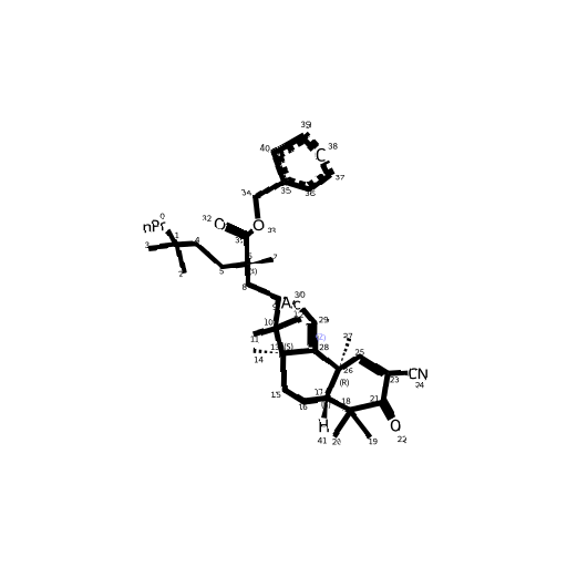 CCCC(C)(C)CC[C@@](C)(CCC(C)(C)[C@]1(C)CC[C@H]2C(C)(C)C(=O)C(C#N)=C[C@]2(C)/C1=C/C(C)=O)C(=O)OCc1ccccc1